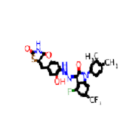 Cc1ccc(N2C(=O)/C(=N\Nc3ccc(/C=C4/SC(=O)NC4=O)cc3O)c3c(F)cc(C(F)(F)F)cc32)cc1C